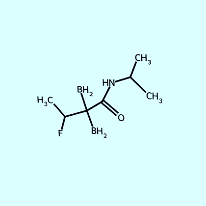 BC(B)(C(=O)NC(C)C)C(C)F